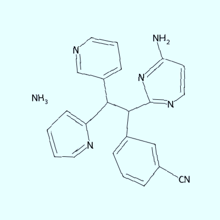 N.N#Cc1cccc(C(c2nccc(N)n2)C(c2cccnc2)c2ccccn2)c1